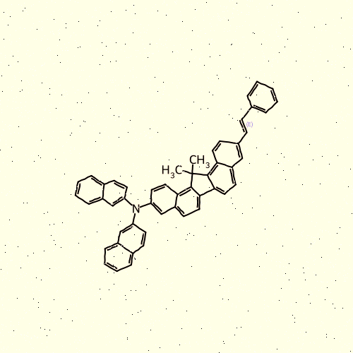 CC1(C)c2c(ccc3cc(/C=C/c4ccccc4)ccc23)-c2ccc3cc(N(c4ccc5ccccc5c4)c4ccc5ccccc5c4)ccc3c21